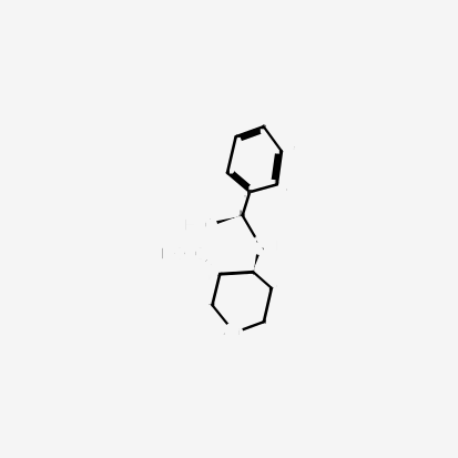 C[C@H](N[C@H]1CCOC[C@@H]1C(=O)O)c1ccccc1